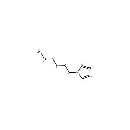 CC(C)OCCCCn1c[c]nc1